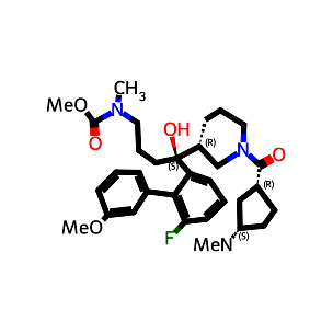 CN[C@H]1CC[C@@H](C(=O)N2CCC[C@@H]([C@@](O)(CCCN(C)C(=O)OC)c3cccc(F)c3-c3cccc(OC)c3)C2)C1